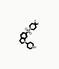 O=S(=O)(c1ccc2c(c1)N(C1CCNCC1)CC2)N1CCC(F)(F)CC1